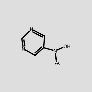 CC(=O)N(O)c1cncnc1